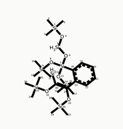 C[Si](C)(C)O[SiH2]O[Si](O[Si](C)(C)C)(O[Si](C)(C)C)c1ccccc1C(O[Si](C)(C)C)=C([SiH3])O[Si](C)(C)C